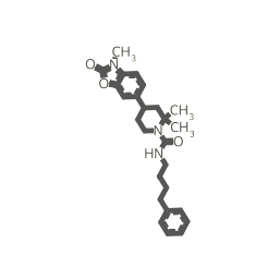 Cn1c(=O)oc2cc(C3CCN(C(=O)NCCCCc4ccccc4)C(C)(C)C3)ccc21